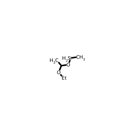 CCOC(C)O[SiH2]C